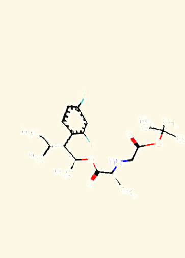 CC(C)[C@H](c1ccc(F)cc1F)[C@H](C)OC(=O)[C@H](C)NCC(=O)OC(C)(C)C